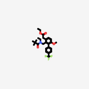 CCOC(=O)Cc1ccc(OC)c(-c2ccc(C(F)(F)F)cc2)c1CN(CC)C(=O)C(C)(C)C